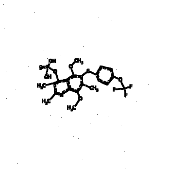 COc1c(C)c(Sc2ccc(OC(F)(F)F)cc2)c(OC)c2c(OP(O)(O)=S)c(C)c(C)nc12